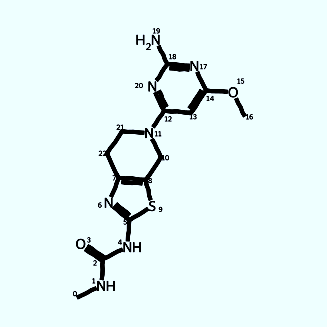 CNC(=O)Nc1nc2c(s1)CN(c1cc(OC)nc(N)n1)CC2